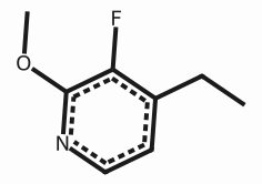 CCc1ccnc(OC)c1F